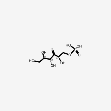 O=C([C@H](O)COP(=O)(O)O)[C@H](O)[C@H](O)CO